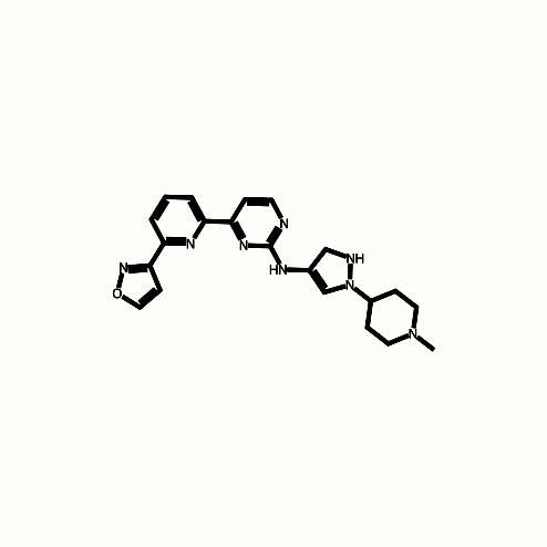 CN1CCC(N2C=C(Nc3nccc(-c4cccc(-c5ccon5)n4)n3)CN2)CC1